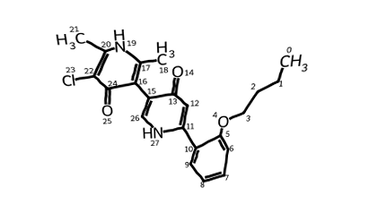 CCCCOc1ccccc1-c1cc(=O)c(-c2c(C)[nH]c(C)c(Cl)c2=O)c[nH]1